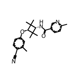 Cc1ccc(C(=O)N[C@H]2C(C)(C)[C@H](Oc3ccc(C#N)c(C)c3)C2(C)C)cn1